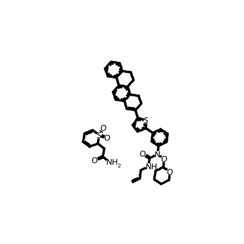 C=CCNC(=O)N(OC1CCCCO1)c1cccc(-c2ccc(C3=Cc4ccc5c(c4CC3)CCc3ccccc3-5)s2)c1.NC(=O)CC1C=CC=CS1(=O)=O